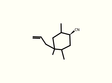 C=CCC1(C)CC(C)[C@@H](C#N)CC1C